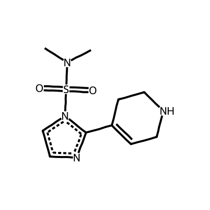 CN(C)S(=O)(=O)n1ccnc1C1=CCNCC1